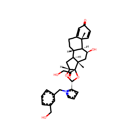 C[C@]12C=CC(=O)C=C1CC[C@@H]1[C@@H]2[C@@H](O)C[C@@]2(C)[C@H]1C[C@H]1O[C@@H](c3cccn3Cc3cccc(CO)c3)O[C@]12C(=O)CO